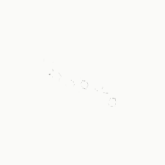 C=C/C=C(\C=C(/I)C[C@H](NC(=O)c1c(Cl)cc2c(c1Cl)CCN(C(=O)/C=C/c1ccccc1O)C2)C(=O)O)S(C)(=O)=O